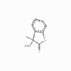 COC1(C)C(=O)Oc2ccccc21